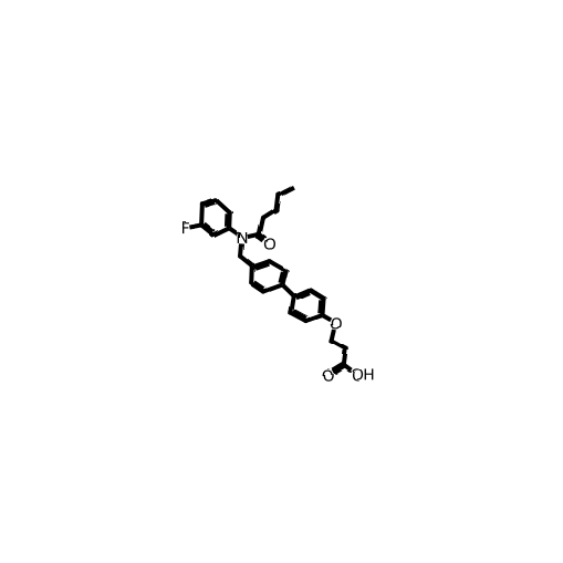 CCCCC(=O)N(Cc1ccc(-c2ccc(OCCC(=O)O)cc2)cc1)c1cccc(F)c1